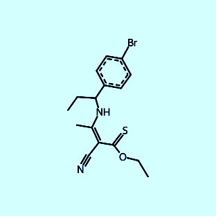 CCOC(=S)C(C#N)=C(C)NC(CC)c1ccc(Br)cc1